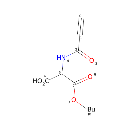 C#CC(=O)NC(C(=O)O)C(=O)OC(C)CC